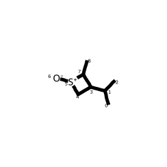 CC(C)C1C[S+]([O-])C1C